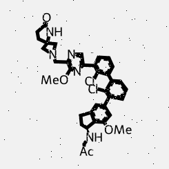 COc1cc(-c2cccc(-c3cccc(-c4cnc(CN5CC6(CCC(=O)N6)C5)c(OC)n4)c3Cl)c2Cl)cc2c1[C@@H](NCC(C)=O)CC2